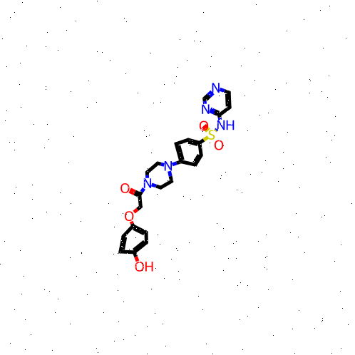 O=C(COc1ccc(O)cc1)N1CCN(c2ccc(S(=O)(=O)Nc3ccncn3)cc2)CC1